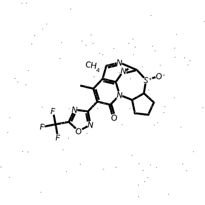 C.Cc1c(-c2noc(C(F)(F)F)n2)c(=O)n2c3nc(ncc13)[S+]([O-])C1CCCC12